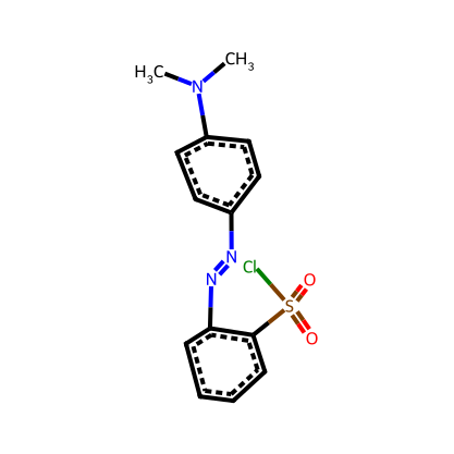 CN(C)c1ccc(N=Nc2ccccc2S(=O)(=O)Cl)cc1